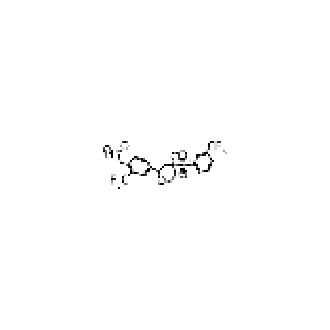 CC1(S(=O)(=O)c2cccc(C(F)(F)F)c2)CCOC(c2ccc(C[SH](=O)=O)c(C(F)(F)F)c2)C1